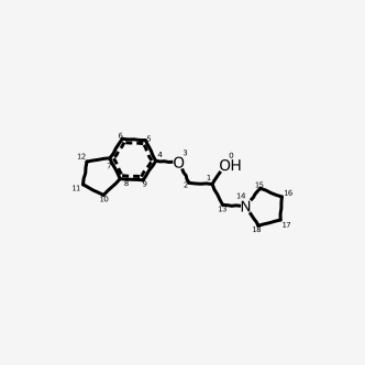 OC(COc1ccc2c(c1)CCC2)CN1CCCC1